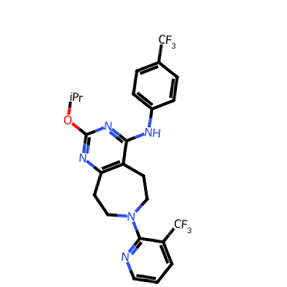 CC(C)Oc1nc2c(c(Nc3ccc(C(F)(F)F)cc3)n1)CCN(c1ncccc1C(F)(F)F)CC2